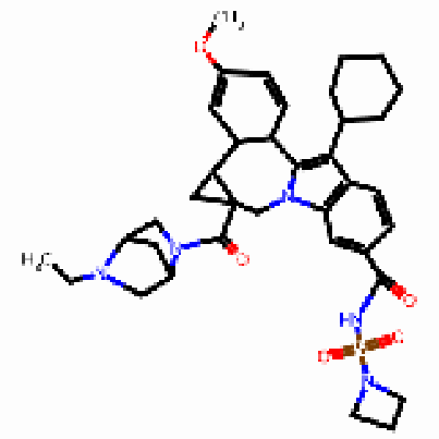 CCN1CC2CC1CN2C(=O)C12CC1C1C=C(OC)C=CC1c1c(C3CCCCC3)c3ccc(C(=O)NS(=O)(=O)N4CCC4)cc3n1C2